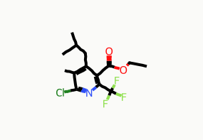 CCOC(=O)c1c(C(F)(F)F)nc(Cl)c(C)c1CC(C)C